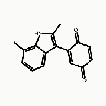 Cc1[nH]c2c(C)cccc2c1C1=CC(=O)C=CC1=O